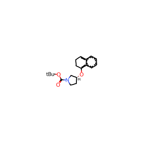 CC(C)(C)OC(=O)N1CC[C@@H](OC2=c3ccccc3=CCC2)C1